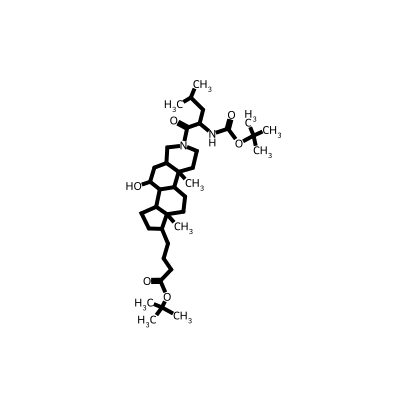 CC(C)CC(NC(=O)OC(C)(C)C)C(=O)N1CCC2(C)C(CC(O)C3C4CCC(CCCC(=O)OC(C)(C)C)C4(C)CCC32)C1